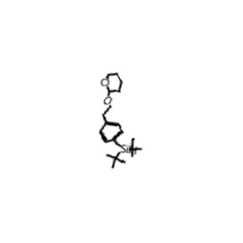 CC(C)(C)[SiH](c1ccc(CCOC2CCCCO2)cc1)C(C)(C)C